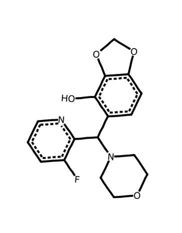 Oc1c(C(c2ncccc2F)N2CCOCC2)ccc2c1OCO2